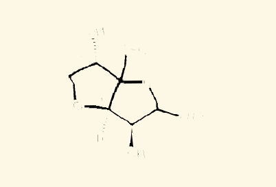 O=CC1OC2(C=O)[C@H](OC[C@@H]2O)[C@@H]1O